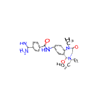 CCC(C(=O)O)N1CC(=O)N(C)c2ccc(NC(=O)c3ccc(C(=N)N)cc3)cc2C1=O